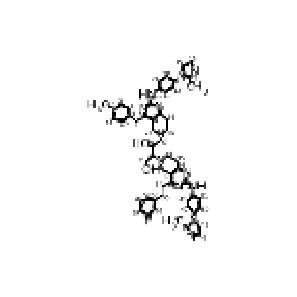 Cc1ccc(Cc2nc(Nc3ccc(-n4ccnc4C)cc3)nc3c2CN(CC(O)C(CO)N2CCc4nc(Nc5ccc(-n6ccnc6C)cc5)nc(CCc5cccc(F)c5)c4C2)CC3)cc1